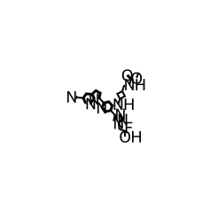 COC(=O)NCC1CC(Nc2cc(-c3ccc4cc(C#N)cnn34)ncc2-c2cn(CC(O)F)nn2)C1